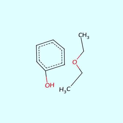 CCOCC.Oc1ccccc1